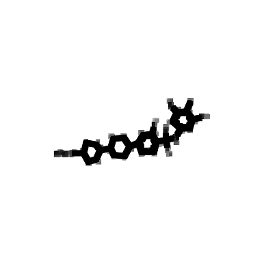 CCCCCC1CCC(C2CCC(c3ccc(C(F)(F)Oc4cc(F)c(C)c(F)c4)c(F)c3)CC2)CC1